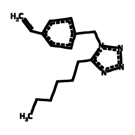 C=Cc1ccc(Cn2nnnc2CCCCCC)cc1